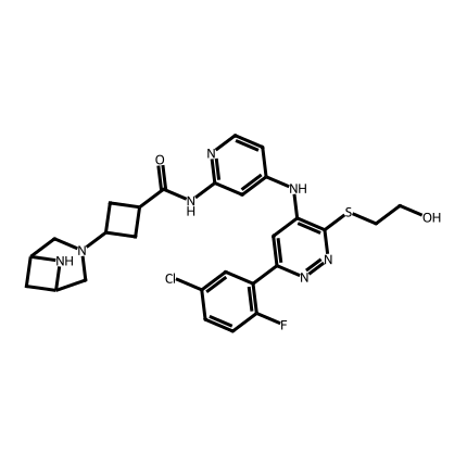 O=C(Nc1cc(Nc2cc(-c3cc(Cl)ccc3F)nnc2SCCO)ccn1)C1CC(N2CC3CC(C2)N3)C1